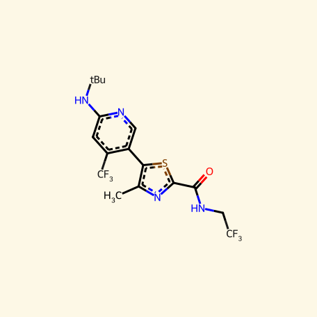 Cc1nc(C(=O)NCC(F)(F)F)sc1-c1cnc(NC(C)(C)C)cc1C(F)(F)F